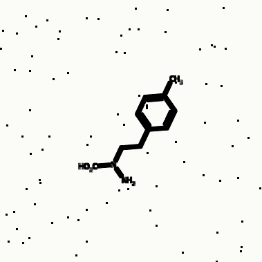 Cc1ccc(CCN(N)C(=O)O)cc1